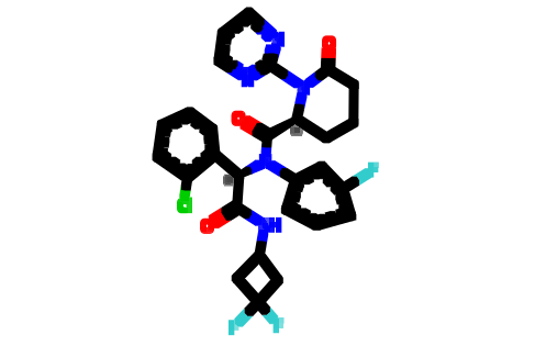 O=C(NC1CC(F)(F)C1)[C@@H](c1ccccc1Cl)N(C(=O)[C@@H]1CCCC(=O)N1c1ncccn1)c1cccc(F)c1